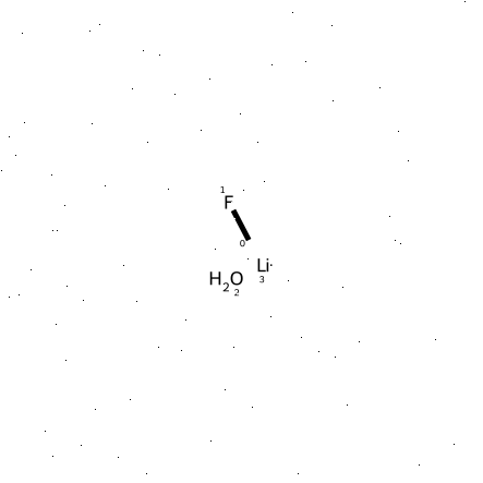 CF.O.[Li]